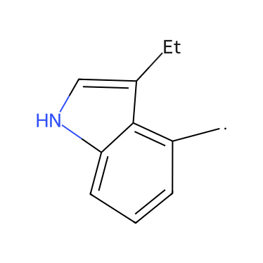 [CH2]c1cccc2[nH]cc(CC)c12